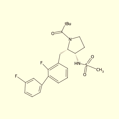 CC(C)(C)C(=O)N1CC[C@H](NS(C)(=O)=O)[C@@H]1Cc1cccc(-c2cccc(F)c2)c1F